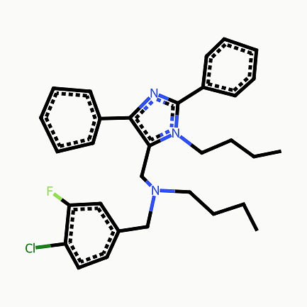 CCCCN(Cc1ccc(Cl)c(F)c1)Cc1c(-c2ccccc2)nc(-c2ccccc2)n1CCCC